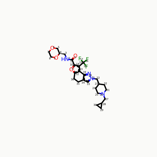 O=C(NC[C@@H]1COCCO1)c1oc2c(c1C(F)(F)F)-c1nn(CC3CCN(CC4CC4)CC3)cc1CC2